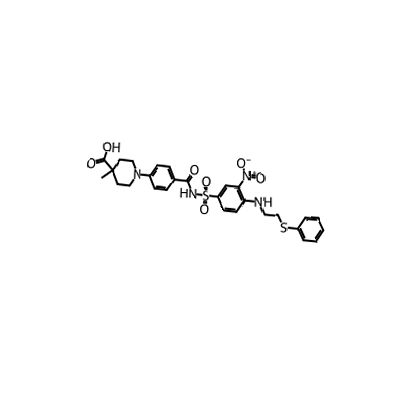 CC1(C(=O)O)CCN(c2ccc(C(=O)NS(=O)(=O)c3ccc(NCCSc4ccccc4)c([N+](=O)[O-])c3)cc2)CC1